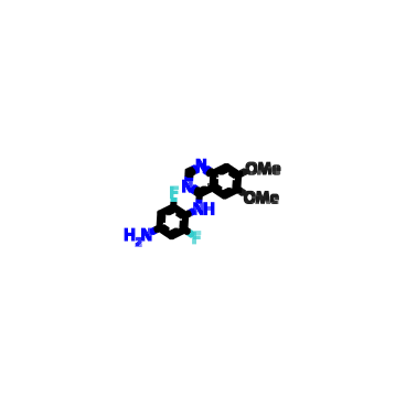 COc1cc2ncnc(Nc3c(F)cc(N)cc3F)c2cc1OC